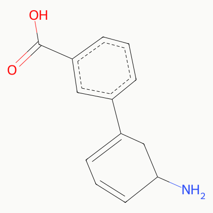 NC1C=CC=C(c2cccc(C(=O)O)c2)C1